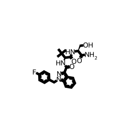 CC(C)(C)[C@H](NC(=O)c1nn(Cc2ccc(F)cc2)c2ccccc12)C(=O)N[C@@H](CO)C(N)=O